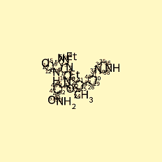 CCc1nc2c(cnn2CC)c(NC2CCOCC2)c1CN(Cc1cc(C)cc(-c2cccc(CN3CCCNCC3)c2)c1)C(=O)c1cccc(C(N)=O)c1